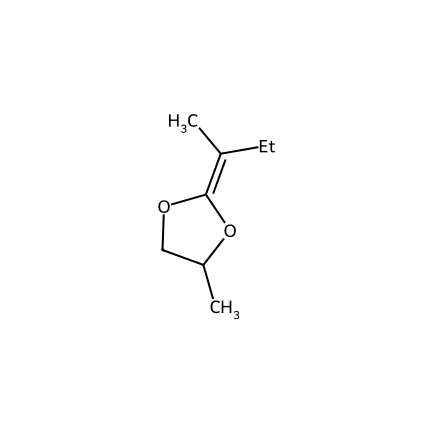 CCC(C)=C1OCC(C)O1